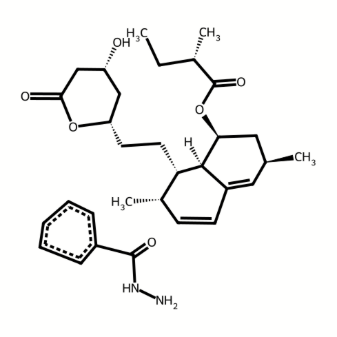 CC[C@H](C)C(=O)O[C@H]1C[C@@H](C)C=C2C=C[C@H](C)[C@H](CC[C@H]3C[C@@H](O)CC(=O)O3)[C@H]21.NNC(=O)c1ccccc1